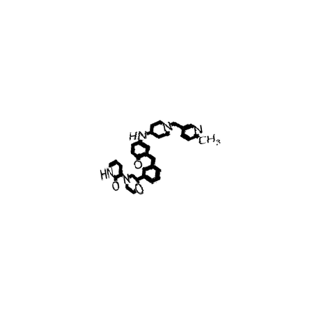 Cc1ccc(CN2CCC(Nc3ccc4c(c3)Cc3cccc(C5CN(c6ccc[nH]c6=O)CCO5)c3O4)CC2)cn1